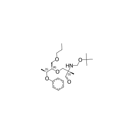 CCCOC[C@@H](OC[C@@](C)(C=O)NCOC(C)(C)C)[C@H](C)Oc1ccccc1